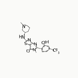 CN1CCC[C@@H](Nc2nc3nc(-c4ccc(C(F)(F)F)cc4O)n(C)c(=O)c3s2)C1